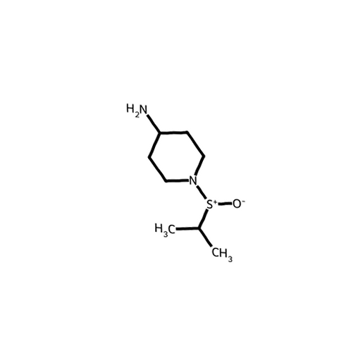 CC(C)[S+]([O-])N1CCC(N)CC1